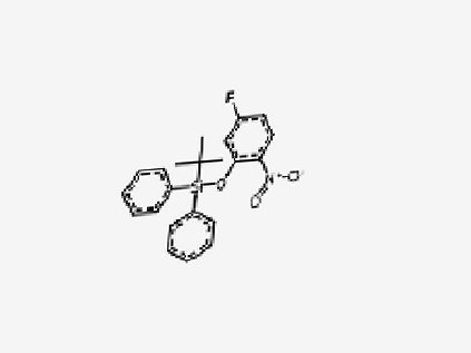 CC(C)(C)[Si](Oc1cc(F)ccc1[N+](=O)[O-])(c1ccccc1)c1ccccc1